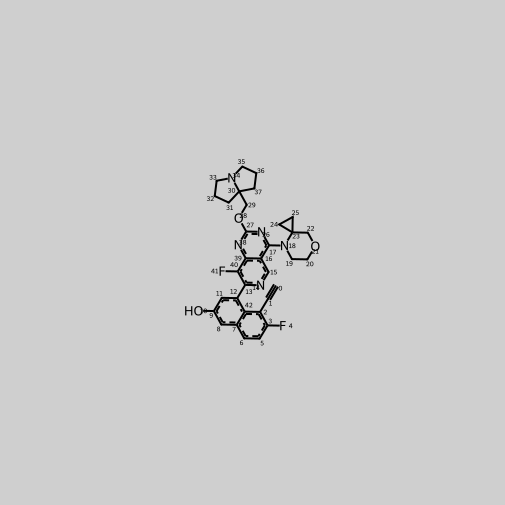 C#Cc1c(F)ccc2cc(O)cc(-c3ncc4c(N5CCOCC56CC6)nc(OCC56CCCN5CCC6)nc4c3F)c12